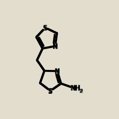 NC1=NC(Cc2cscn2)CS1